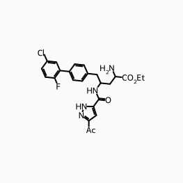 CCOC(=O)C(N)CC(Cc1ccc(-c2cc(Cl)ccc2F)cc1)NC(=O)c1cc(C(C)=O)n[nH]1